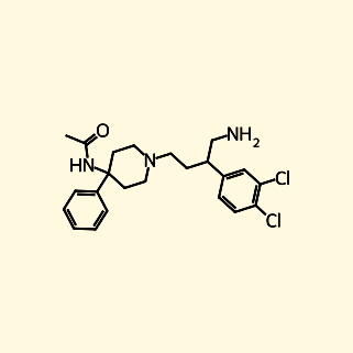 CC(=O)NC1(c2ccccc2)CCN(CCC(CN)c2ccc(Cl)c(Cl)c2)CC1